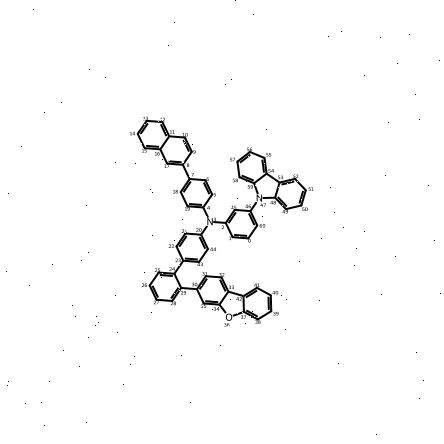 c1cc(N(c2ccc(-c3ccc4ccccc4c3)cc2)c2ccc(-c3ccccc3-c3ccc4c(c3)oc3ccccc34)cc2)cc(-n2c3ccccc3c3ccccc32)c1